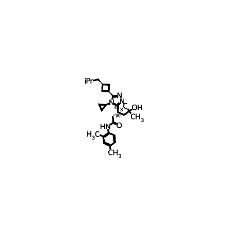 Cc1ccc(NC(=O)C[C@@H](CC(C)(C)O)c2nnc([C@H]3C[C@@H](CC(C)C)C3)n2C2CC2)c(C)c1